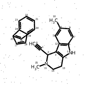 C#CC1c2c([nH]c3ccc(C)cc23)CCN1C.C1=Cc2c3cccc2C1=C3